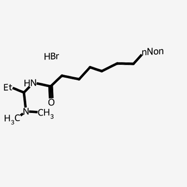 Br.CCCCCCCCCCCCCCCC(=O)NC(CC)N(C)C